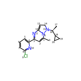 CC1=CC(c2cccc(Cl)n2)=NC2=CCN([C@@H](C)C3CC3)N12